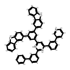 c1ccc(-c2cccc(-c3nc(-c4cccc(-c5cccnc5)c4)cc(-c4cc(-c5ccc6oc7ccccc7c6c5)cc(-c5ccc6oc7ccccc7c6c5)c4)n3)c2)cc1